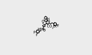 CCOC(=O)c1c(CCc2ccc(F)cc2)nc2c(c1-c1cc(C(=O)NCc3ccc(F)c(F)c3)cs1)C(=O)N1CCC[C@@H]21